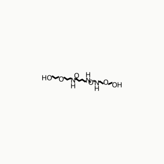 O=C(CCCNOCNCCOCCO)NCCCOCCCO